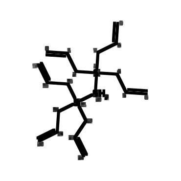 C=CC[Si](CC=C)(CC=C)[SiH2][Si](CC=C)(CC=C)CC=C